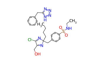 CCCCC1(Cc2ccc(S(=O)(=O)NCC)cc2)N=C(Cl)C(CO)=N1.c1ccc(Cc2nnn[nH]2)cc1